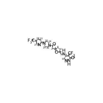 O=C(C[C@H]1CC[C@@H](CNc2cn[nH]c(=O)c2C(F)(F)F)O1)N1CCN(c2ccc(C(F)(F)F)cn2)CC1